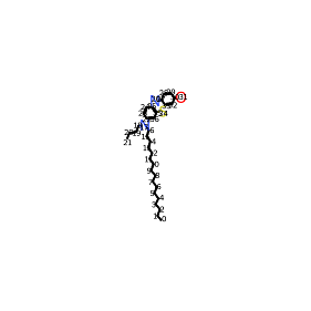 CCCCCCCCCCCCCCCCCN(CCCC)c1ccc2nc3ccc(=O)cc-3sc2c1